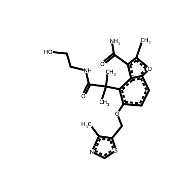 Cc1ncsc1COc1ccc2oc(C)c(C(N)=O)c2c1C(C)(C)C(=O)NCCO